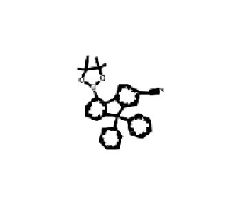 CC1(C)OB(c2cccc3c2-c2ccc(C#N)cc2C3(c2ccccc2)c2ccccc2)OC1(C)C